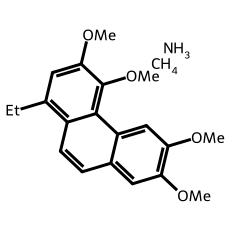 C.CCc1cc(OC)c(OC)c2c1ccc1cc(OC)c(OC)cc12.N